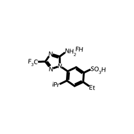 CCc1cc(C(C)C)c(-n2nc(C(F)(F)F)nc2N)cc1S(=O)(=O)O.F